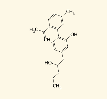 C=C(C)c1ccc(C)cc1-c1ccc(CC(O)CCC)cc1O